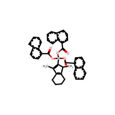 CC1=[C]([Ti]([O]C(=O)c2cccc3ccccc23)([O]C(=O)c2cccc3ccccc23)[O]C(=O)c2cccc3ccccc23)C(C)C2=C1CCCC2